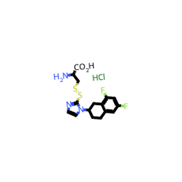 Cl.NC(CSSc1nccn1C1CCc2cc(F)cc(F)c2C1)C(=O)O